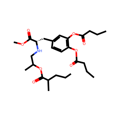 CCCC(=O)Oc1ccc(C[C@H](NCC(C)OC(=O)C(C)CCC)C(=O)OC)cc1OC(=O)CCC